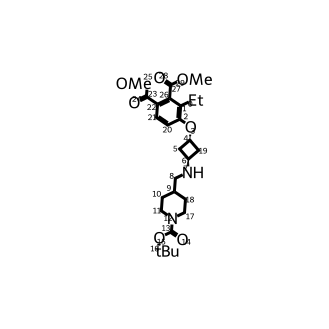 CCc1c(O[C@H]2C[C@H](NCC3CCN(C(=O)OC(C)(C)C)CC3)C2)ccc(C(=O)OC)c1C(=O)OC